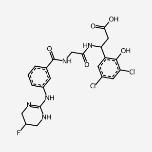 O=C(O)CC(NC(=O)CNC(=O)c1cccc(NC2=NCC(F)CN2)c1)c1cc(Cl)cc(Cl)c1O